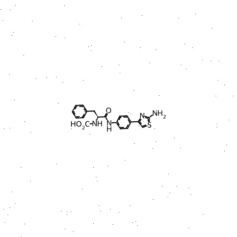 Nc1nc(-c2ccc(NC(=O)[C@H](Cc3ccccc3)NC(=O)O)cc2)cs1